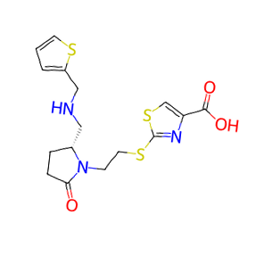 O=C(O)c1csc(SCCN2C(=O)CC[C@@H]2CNCc2cccs2)n1